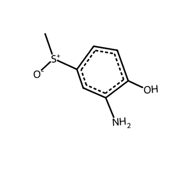 C[S+]([O-])c1ccc(O)c(N)c1